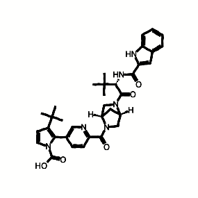 CC(C)(C)c1ccn(C(=O)O)c1-c1ccc(C(=O)N2C[C@@H]3C[C@H]2CN3C(=O)[C@@H](NC(=O)c2cc3ccccc3[nH]2)C(C)(C)C)nc1